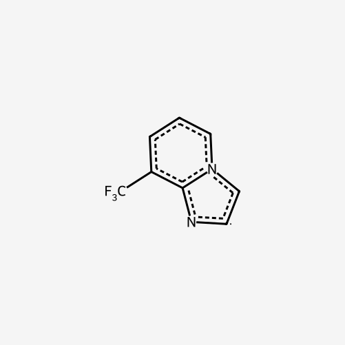 FC(F)(F)c1cccn2c[c]nc12